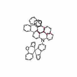 c1ccc(-c2ccccc2-c2ccc(N(c3ccc4c(c3)C3(c5ccccc5Oc5ccccc53)c3ccccc3-4)c3ccccc3-c3ccc4c(c3)oc3ccccc34)c(-c3ccccc3)c2)cc1